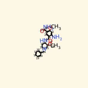 COc1cc(N)c(C(=O)N[C@@H]2CCN(Cc3ccccc3)C[C@@H]2OC)cc1C(N)=O